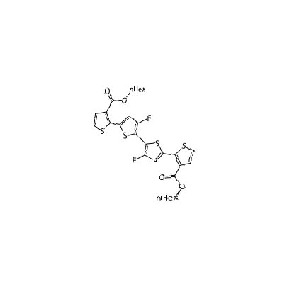 CCCCCCOC(=O)c1ccsc1-c1cc(F)c(-c2sc(-c3sccc3C(=O)OCCCCCC)cc2F)s1